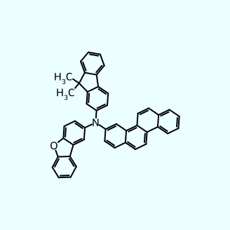 CC1(C)c2ccccc2-c2ccc(N(c3ccc4ccc5c6ccccc6ccc5c4c3)c3ccc4oc5ccccc5c4c3)cc21